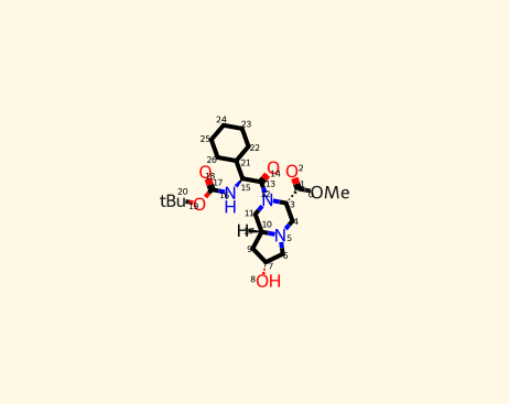 COC(=O)[C@@H]1CN2C[C@H](O)C[C@@H]2CN1C(=O)[C@@H](NC(=O)OC(C)(C)C)C1CCCCC1